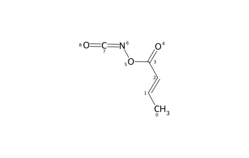 CC=CC(=O)ON=C=O